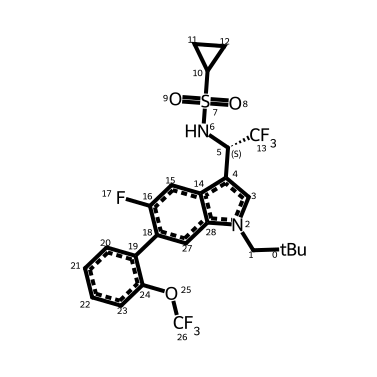 CC(C)(C)Cn1cc([C@H](NS(=O)(=O)C2CC2)C(F)(F)F)c2cc(F)c(-c3ccccc3OC(F)(F)F)cc21